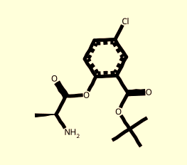 C[C@H](N)C(=O)Oc1ccc(Cl)cc1C(=O)OC(C)(C)C